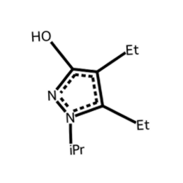 CCc1c(O)nn(C(C)C)c1CC